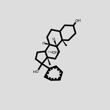 C[C@]12CCC(O)CC1CC[C@@H]1[C@H]2CC[C@]2(C)C(O)(c3ccccc3)CC[C@@]12O